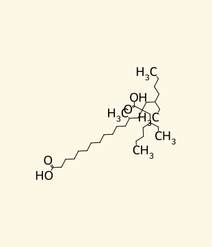 CCCCC(CC)CC(CC(C)CCCCCCCCCCCC(=O)O)(CC(CC)CCCC)C(=O)O